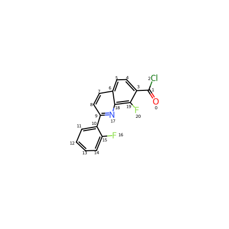 O=C(Cl)c1ccc2ccc(-c3ccccc3F)nc2c1F